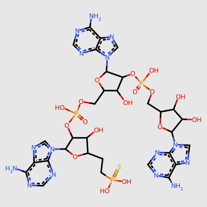 Nc1ncnc2c1ncn2C1OC(COP(=O)(O)OC2C(O)C(COP(=O)(O)OC3C(O)C(CCP(O)(O)=S)OC3n3cnc4c(N)ncnc43)OC2n2cnc3c(N)ncnc32)C(O)C1O